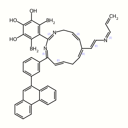 Bc1c(O)c(O)c(O)c(B)c1C1=N/C\C=C/C(/C=C/N=C\C=C)=C\C/C=C/C(c2cccc(-c3cc4ccccc4c4ccccc34)c2)=N\1